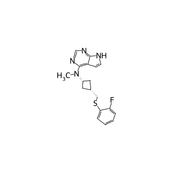 CN(c1ncnc2[nH]ccc12)[C@H]1C[C@@H](CSc2ccccc2F)C1